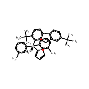 Cc1ccc[c]([Zr](=[SiH2])([C]2=CC=CC2)([c]2cccc(C)c2)[c]2c(C(C)(C)C)ccc3c2Cc2cc(C(C)(C)C)ccc2-3)c1